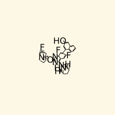 Oc1cc(-c2c(F)cc3c(N4C[C@H]5CCC[C@@H](C4)N5)nc(OC[C@@]45CCCN4C[C@H](F)C5)nc3c2F)c2ccccc2c1